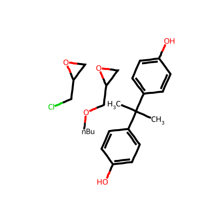 CC(C)(c1ccc(O)cc1)c1ccc(O)cc1.CCCCOCC1CO1.ClCC1CO1